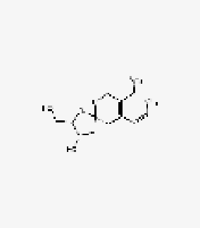 C=CC1=C(/C=C\C)C[C@@]2(C[C@H](O)[C@@H](CO)O2)OC1